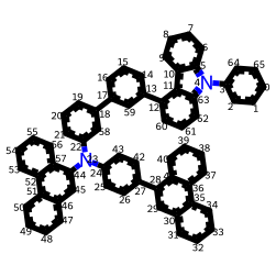 c1ccc(-n2c3ccccc3c3c(-c4cccc(-c5cccc(N(c6ccc(-c7cc8ccccc8c8ccccc78)cc6)c6cc7ccccc7c7ccccc67)c5)c4)cccc32)cc1